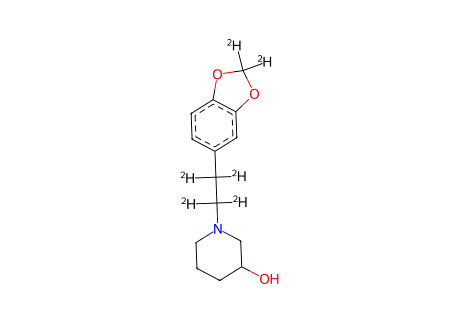 [2H]C1([2H])Oc2ccc(C([2H])([2H])C([2H])([2H])N3CCCC(O)C3)cc2O1